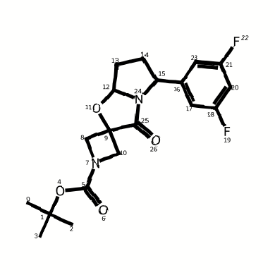 CC(C)(C)OC(=O)N1CC2(C1)OC1CCC(c3cc(F)cc(F)c3)N1C2=O